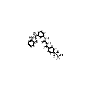 CCN(CC)S(=O)(=O)c1ccc(C(=O)NC(=S)Nc2cccc(S(=O)(=O)Nc3ccccc3F)c2)cc1